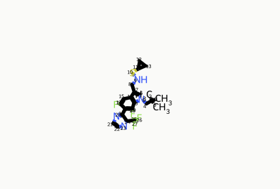 CC(C)(C)Cn1cc(CNSC2CC2)c2cc(F)c(-c3nccnc3C(F)(F)F)cc21